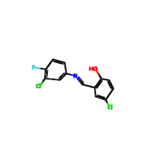 Oc1ccc(Cl)cc1/C=N/c1ccc(F)c(Cl)c1